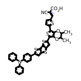 CC1Oc2c(-c3ccc(/C=C(\C#N)C(=O)O)s3)sc(-c3cc4sc5cc(-c6ccc(N(c7ccccc7)c7ccccc7)cc6)sc5c4s3)c2OC1C